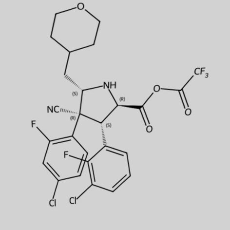 N#C[C@]1(c2ccc(Cl)cc2F)[C@H](CC2CCOCC2)N[C@@H](C(=O)OC(=O)C(F)(F)F)[C@@H]1c1cccc(Cl)c1F